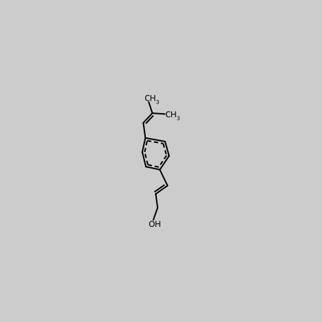 CC(C)=Cc1ccc(/C=C/CO)cc1